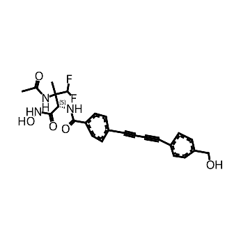 CC(=O)NC(C)(C(F)F)[C@H](NC(=O)c1ccc(C#CC#Cc2ccc(CO)cc2)cc1)C(=O)NO